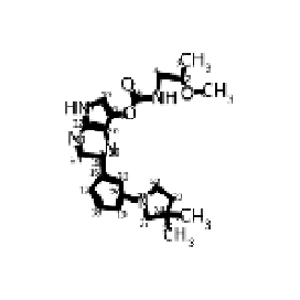 COC(C)CNC(=O)Oc1c[nH]c2ncc(-c3cccc(N4CCC(C)(C)C4)c3)nc12